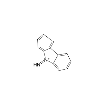 N=[N+]1c2ccccc2-c2ccccc21